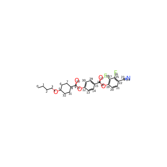 CCCCOC1CCC(C(=O)Oc2ccc(C(=O)Oc3ccc(C#N)c(F)c3F)cc2)CC1